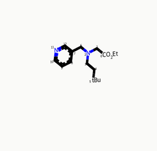 CCOC(=O)CN(CCC(C)(C)C)Cc1cccnc1